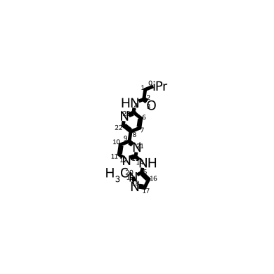 CC(C)CC(=O)Nc1ccc(-c2ccnc(Nc3ccnn3C)n2)cn1